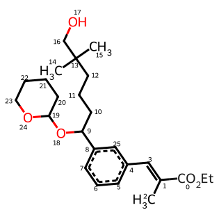 CCOC(=O)C(C)=Cc1cccc(C(CCCC(C)(C)CO)OC2CCCCO2)c1